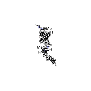 CO[C@@H](C[C@@H]1CC[C@@H](C)[C@](O)(C(=O)C(=O)N2CCCC[C@H]2C(=O)O[C@H](CC[C@@H]2CC[C@@H](O)[C@H](OC)C2)C[C@@H](O)[C@H](C)/C=C(\C)[C@@H](O)[C@@H](OC)/C(=N/OCC(=O)N2CCc3nc(N4CCN(C)CC4)ncc3C2)[C@H](C)CC(C)C)O1)/C(C)=C/C=C/C(C)C